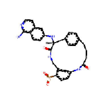 Nc1nccc2cc(N[C@H]3C(=O)NCc4cc(ccc4[SH](=O)=O)NC(=O)CCCc4ccc3cc4)ccc12